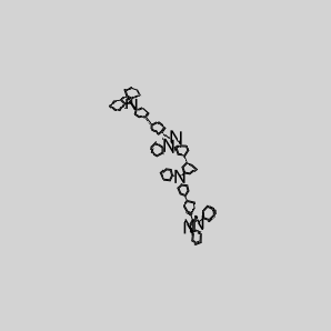 c1ccc(N(c2ccc(-c3ccc(-c4nc5ccccc5n4-c4ccccc4)cc3)cc2)c2cccc(-c3ccc4nc(-c5ccc(-c6ccc(-n7c8ccccc8c8ccccc87)cc6)cc5)n(-c5ccccc5)c4c3)c2)cc1